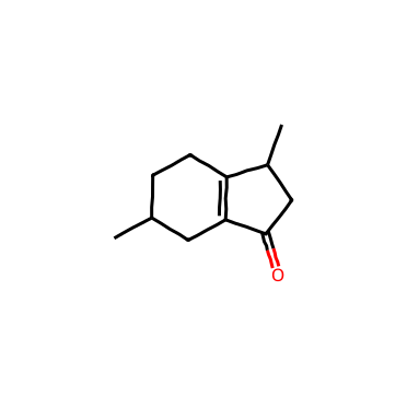 CC1CCC2=C(C1)C(=O)CC2C